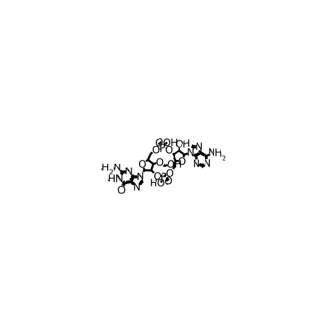 Nc1nc2c(ncn2C2OC3COP(=O)(O)OC4C(COP(=O)(O)OC2C3OCO)OC(n2cnc3c(N)ncnc32)C4O)c(=O)[nH]1